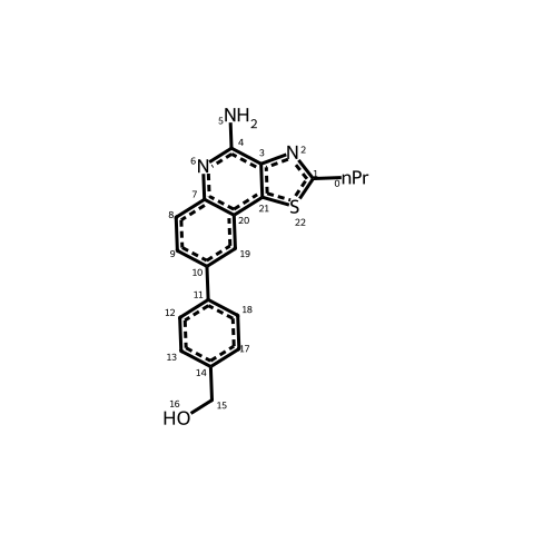 CCCc1nc2c(N)nc3ccc(-c4ccc(CO)cc4)cc3c2s1